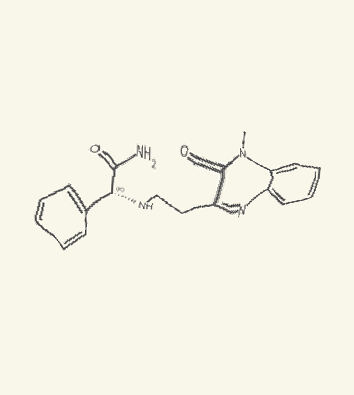 Cn1c(=O)c(CCN[C@@H](C(N)=O)c2ccccc2)nc2ccccc21